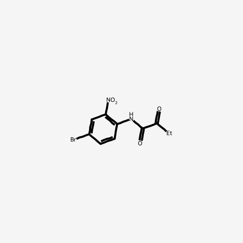 CCC(=O)C(=O)Nc1ccc(Br)cc1[N+](=O)[O-]